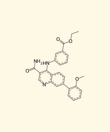 CCOC(=O)c1cccc(Nc2c(C(N)=O)cnc3cc(-c4ccccc4OC)ccc23)c1